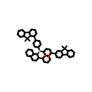 CC1(C)c2ccccc2-c2ccc(-c3ccc(N(c4ccc(-c5cccc6c5C(C)(C)c5ccccc5-6)cc4)c4c(-c5ccccc5)ccc5ccccc45)cc3)cc21